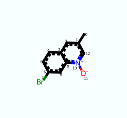 Cc1cc2ccc(Br)cc2[n+]([O-])c1